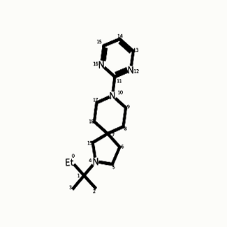 CCC(C)(C)N1CCC2(CCN(c3ncccn3)CC2)C1